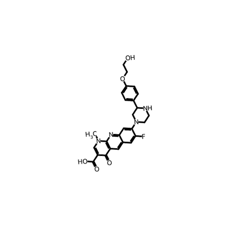 Cn1cc(C(=O)O)c(=O)c2cc3cc(F)c(N4CCNC(c5ccc(OCCO)cc5)C4)cc3nc21